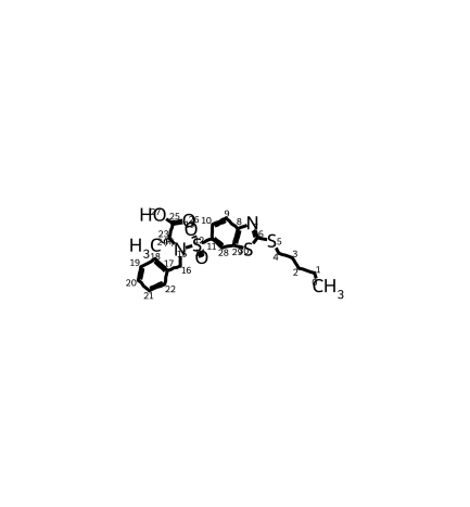 CCCCCSc1nc2ccc(S(=O)(=O)N(Cc3ccccc3)[C@H](C)C(=O)O)cc2s1